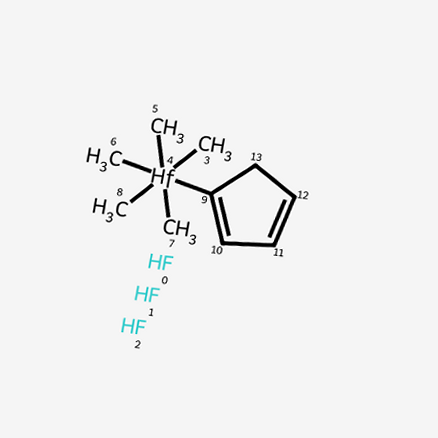 F.F.F.[CH3][Hf]([CH3])([CH3])([CH3])([CH3])[C]1=CC=CC1